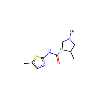 Cc1cnc(NC(=O)[C@@H]2CN(C#N)CC2C)s1